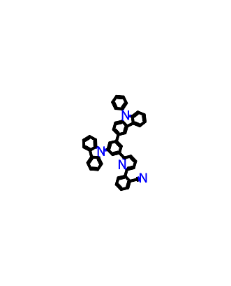 N#Cc1ccccc1-c1cccc(-c2cc(-c3ccc4c(c3)c3ccccc3n4-c3ccccc3)cc(-n3c4ccccc4c4ccccc43)c2)n1